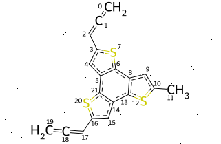 C=C=Cc1cc2c(s1)c1cc(C)sc1c1cc(C=C=C)sc12